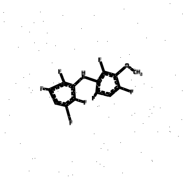 COc1c(F)cc(F)c(Bc2c(F)c(F)cc(F)c2F)c1F